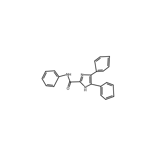 O=C(Nc1ccccc1)c1nc(-c2ccccc2)c(-c2ccccc2)[nH]1